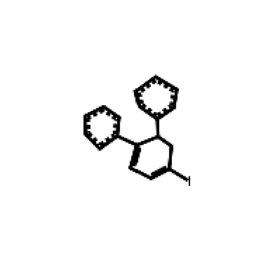 IC1=CC=C(c2ccccc2)C(c2ccccc2)C1